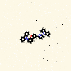 c1cc(-c2ccc3oc4c(-n5c6ccccc6c6ccccc65)cccc4c3c2)nc(-n2c3ccccc3c3ccccc32)c1